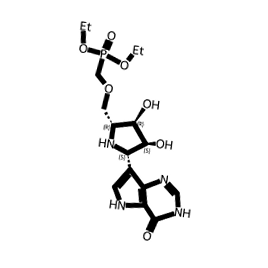 CCOP(=O)(COC[C@H]1N[C@@H](c2c[nH]c3c(=O)[nH]cnc23)[C@H](O)[C@@H]1O)OCC